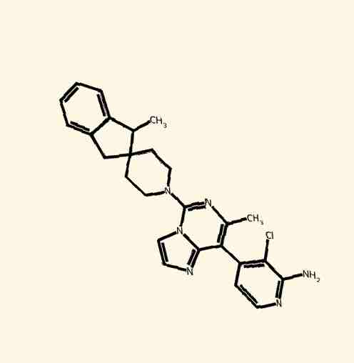 Cc1nc(N2CCC3(CC2)Cc2ccccc2C3C)n2ccnc2c1-c1ccnc(N)c1Cl